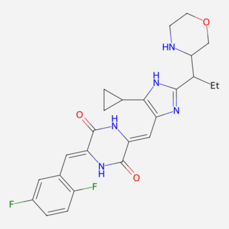 CCC(c1nc(/C=c2\[nH]c(=O)/c(=C/c3cc(F)ccc3F)[nH]c2=O)c(C2CC2)[nH]1)C1COCCN1